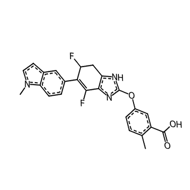 Cc1ccc(Oc2nc3c([nH]2)CC(F)C(c2ccc4c(ccn4C)c2)=C3F)cc1C(=O)O